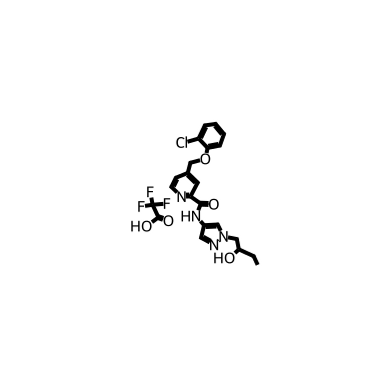 CCC(O)Cn1cc(NC(=O)c2cc(COc3ccccc3Cl)ccn2)cn1.O=C(O)C(F)(F)F